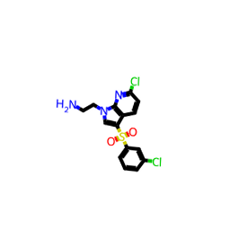 NCCn1cc(S(=O)(=O)c2cccc(Cl)c2)c2ccc(Cl)nc21